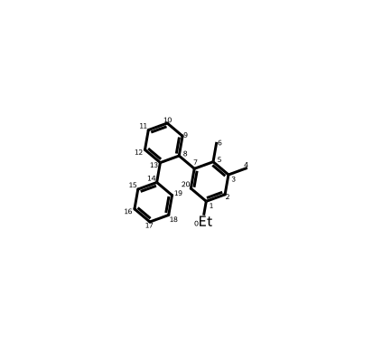 CCc1cc(C)c(C)c(-c2ccccc2-c2ccccc2)c1